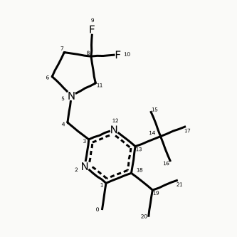 Cc1nc(CN2CCC(F)(F)C2)nc(C(C)(C)C)c1C(C)C